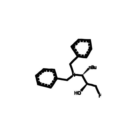 CCCC[C@H]([C@H](O)CF)N(Cc1ccccc1)Cc1ccccc1